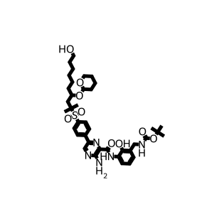 CC(C)(C)OC(=O)NCc1cccc(NC(=O)c2nc(-c3ccc(S(=O)(=O)C(C)(C)CC(CCCCCCO)OC4CCCCO4)cc3)cnc2N)c1O